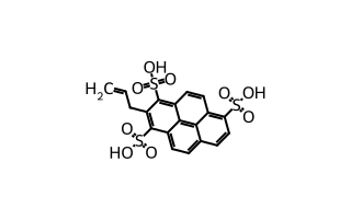 C=CCc1c(S(=O)(=O)O)c2ccc3ccc(S(=O)(=O)O)c4ccc(c1S(=O)(=O)O)c2c34